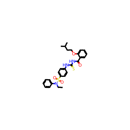 CCN(c1ccccc1)S(=O)(=O)c1ccc(NC(=S)NC(=O)c2ccccc2OCCC(C)C)cc1